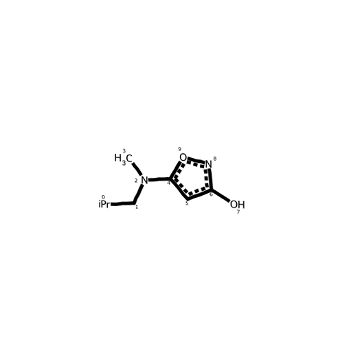 CC(C)CN(C)c1cc(O)no1